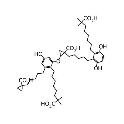 CC(C)(CCCCCCc1c(CCCCCC2(C(=O)O)CC2)cc(O)cc1OC1CC1(CCCCCc1c(O)ccc(O)c1CCCCCCC(C)(C)C(=O)O)C(=O)O)C(=O)O